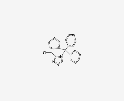 ClCc1nncn1C(c1ccccc1)(c1ccccc1)c1ccccc1